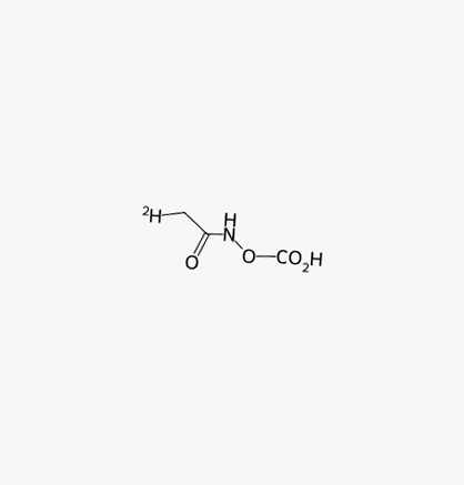 [2H]CC(=O)NOC(=O)O